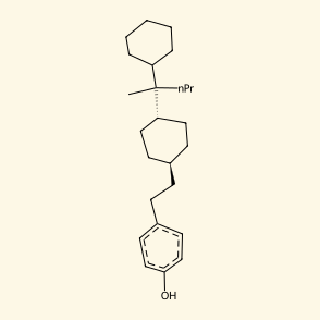 CCCC(C)(C1CCCCC1)[C@H]1CC[C@H](CCc2ccc(O)cc2)CC1